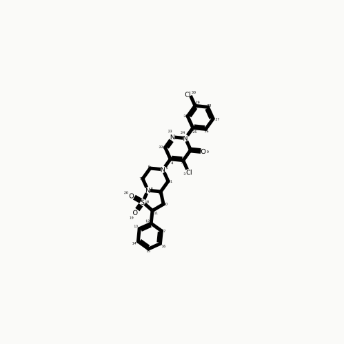 O=c1c(Cl)c(N2CCN3C(CC(c4ccccc4)S3(=O)=O)C2)cnn1-c1cccc(Cl)c1